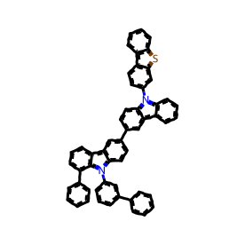 c1ccc(-c2cccc(-n3c4ccc(-c5ccc6c(c5)c5ccccc5n6-c5ccc6c(c5)sc5ccccc56)cc4c4cccc(-c5ccccc5)c43)c2)cc1